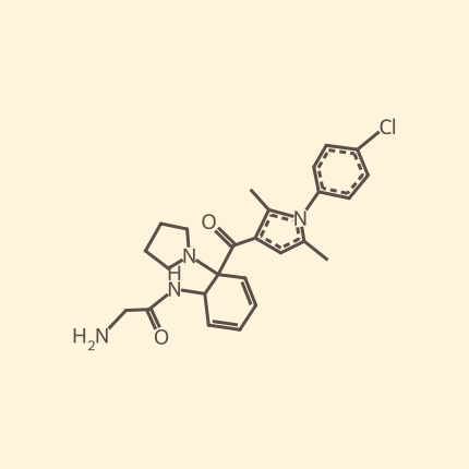 Cc1cc(C(=O)C2(N3CCCC3)C=CC=CC2NC(=O)CN)c(C)n1-c1ccc(Cl)cc1